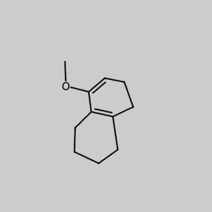 COC1=CCCC2=C1CCCC2